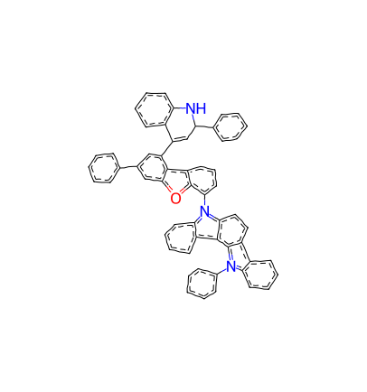 C1=C(c2cc(-c3ccccc3)cc3oc4c(-n5c6ccccc6c6c5ccc5c7ccccc7n(-c7ccccc7)c56)cccc4c23)c2ccccc2NC1c1ccccc1